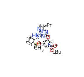 CC(C)c1cnn2c(NCc3ccccc3[S+](C)[O-])nc(O[C@@H]3CCCN(C(=O)OC(C)(C)C)C3)nc12